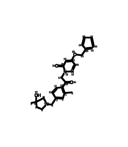 Cc1cc(CN2CCC(C)(O)C2)ccc1C(=O)Cn1ncc(OCc2ccccc2)cc1=O